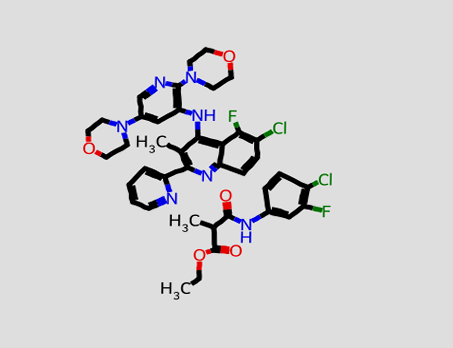 CCOC(=O)C(C)C(=O)Nc1ccc(Cl)c(F)c1.Cc1c(-c2ccccn2)nc2ccc(Cl)c(F)c2c1Nc1cc(N2CCOCC2)cnc1N1CCOCC1